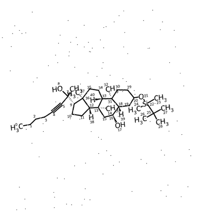 CCCCC#CC(C)(O)[C@H]1CC[C@H]2[C@]3(C)C[C@H](O)[C@H]4CC(O[Si](C)(C)C(C)(C)C)CC[C@]4(C)[C@H]3CC[C@@]21C